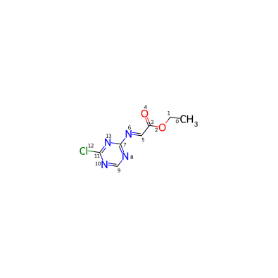 CCOC(=O)/C=N/c1ncnc(Cl)n1